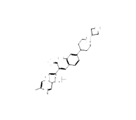 CC1=CN2C=C(c3cc4ccc(C5CCN(C6COC6)CC5)cc4oc3=O)NC2C=N1